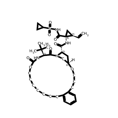 C=C[C@@H]1C[C@]1(NC(=O)[C@@H]1C[C@@H]2CN1C(=O)[C@H](C(C)(C)C)NC(=O)OCCCCCCCc1ccccc1CCCO2)C(=O)NS(=O)(=O)C1CC1